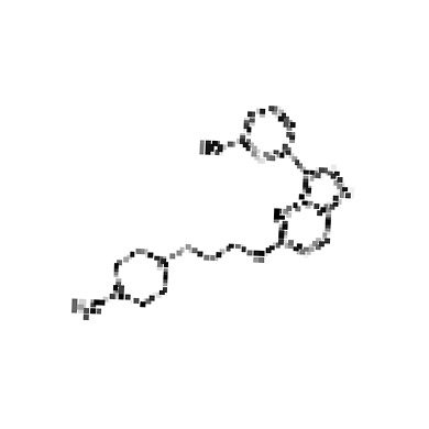 CN1CCN(CCCOc2ccc3ncc(-c4cccc(O)c4)n3n2)CC1